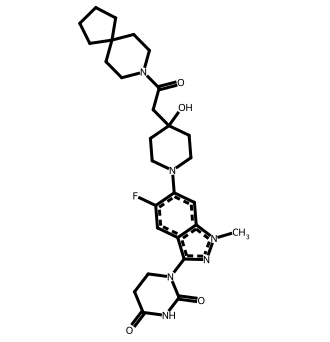 Cn1nc(N2CCC(=O)NC2=O)c2cc(F)c(N3CCC(O)(CC(=O)N4CCC5(CCCC5)CC4)CC3)cc21